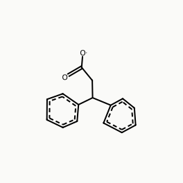 [O]C(=O)CC(c1ccccc1)c1ccccc1